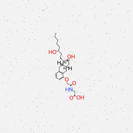 CCCCCC(O)CC[C@@H]1[C@H]2Cc3cccc(OCC(=O)NCC(=O)O)c3C[C@H]2C[C@H]1O